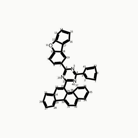 c1ccc(-c2nc(-c3ccc4oc5ccccc5c4c3)nc(-c3cc4ccccc4c4ccc5ccccc5c34)n2)cc1